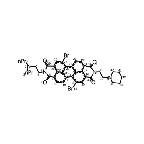 CCCN(CCC)CCN1C(=O)c2ccc3c4c(Br)cc5c6c(ccc(c7c(Br)cc(c2c37)C1=O)c64)C(=O)N(CCN1CCCCC1)C5=O